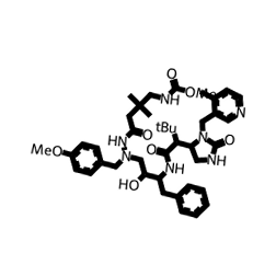 COC(=O)NCC(C)(C)CC(=O)NN(Cc1ccc(OC)cc1)CC(O)C(Cc1ccccc1)NC(=O)C(C1CNC(=O)N1Cc1cnccc1C)C(C)(C)C